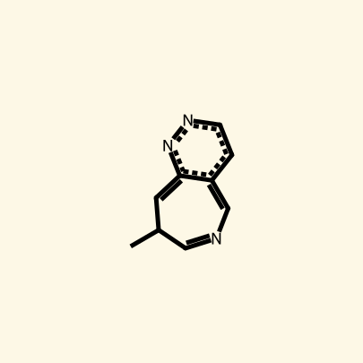 CC1C=NC=c2ccnnc2=C1